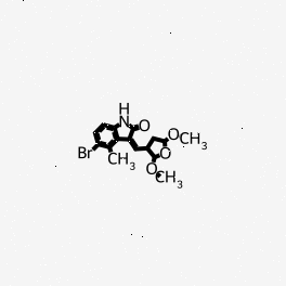 COC1CC(C=C2C(=O)Nc3ccc(Br)c(C)c32)C(OC)O1